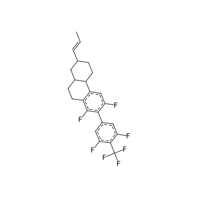 C/C=C/C1CCC2c3cc(F)c(-c4cc(F)c(C(F)(F)F)c(F)c4)c(F)c3CCC2C1